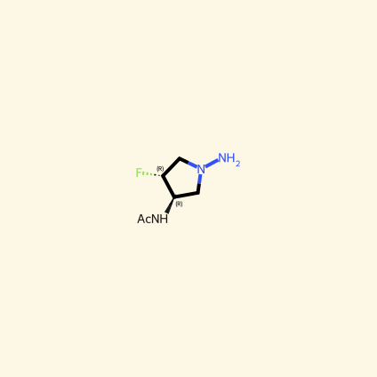 CC(=O)N[C@@H]1CN(N)C[C@H]1F